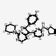 Fc1ccc(-c2nn3c(N4CCCCC4)nccc3c2-c2ccnc(NC3CCCC3)n2)cc1